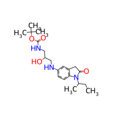 CCC(C)N1C(=O)Cc2cc(NCC(O)CNC(=O)OC(C)(C)C)ccc21